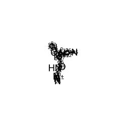 Cc1c(C(=O)CN2CCCCC2)c2ncc(CCC(=O)NCCCN=[N+]=[N-])cc2n1-c1ccc(C#N)cc1